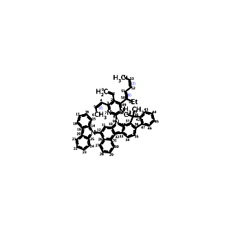 C=Cc1c(/C=C\C)nc(-n2c3cc(-n4c5ccccc5c5ccccc54)c4ccccc4c3c3ccc4c(c32)C(C)(C)c2ccccc2-4)nc1/C(=C/C=C\C)CC